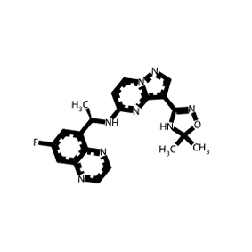 C[C@@H](Nc1ccn2ncc(C3=NOC(C)(C)N3)c2n1)c1cc(F)cc2nccnc12